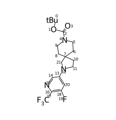 CC(C)(C)OC(=O)N1CCC2(CC1)CCN(c1cnc(C(F)(F)F)c(F)c1)C2